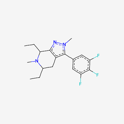 CCC1Cc2c(nn(C)c2-c2cc(F)c(F)c(F)c2)C(CC)N1C